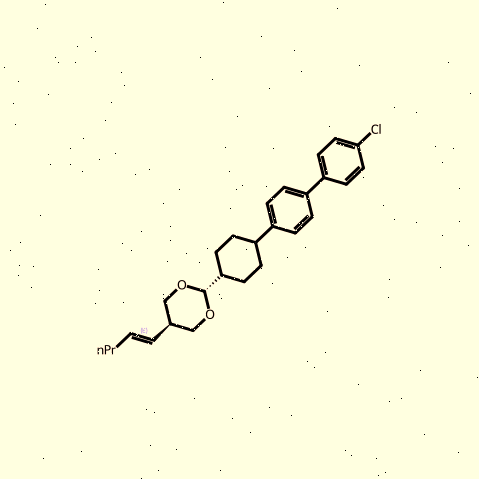 CCC/C=C/[C@H]1CO[C@H](C2CCC(c3ccc(-c4ccc(Cl)cc4)cc3)CC2)OC1